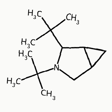 CC(C)(C)C1C2CC2CN1C(C)(C)C